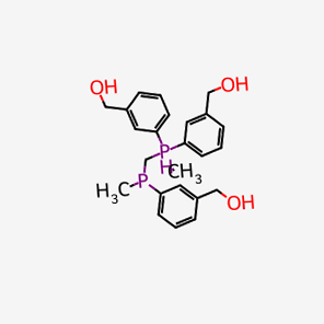 CP(C[PH](C)(c1cccc(CO)c1)c1cccc(CO)c1)c1cccc(CO)c1